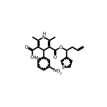 C=CCC(OC(=O)C1=C(C)NC(C)=C(C(=O)OC)C1c1cccc([N+](=O)[O-])c1)c1ccsc1